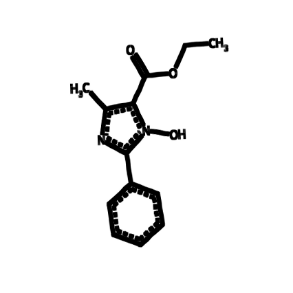 CCOC(=O)c1c(C)nc(-c2ccccc2)n1O